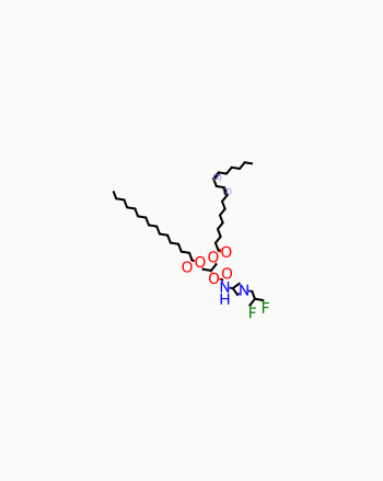 CCCCC/C=C\C/C=C\CCCCCCCC(=O)OCC(COC(=O)CCCCCCCCCCCCCCC)OC(=O)NC1CN(CC(CF)CF)C1